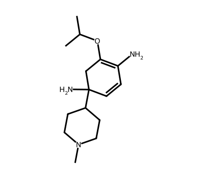 CC(C)OC1=C(N)C=CC(N)(C2CCN(C)CC2)C1